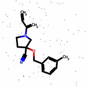 C=CC(=C)N1CCC(C#N)(OCc2cccc(C)c2)C1